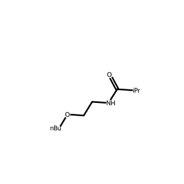 CCCCOCCNC(=O)C(C)C